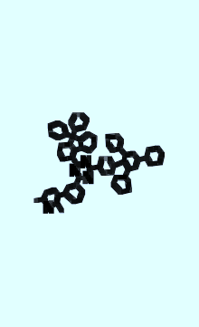 Cc1ccc(-c2cccc(-c3nc(-c4ccc(-c5c(-c6ccccc6)cc(-c6ccccc6)cc5-c5ccccc5)cc4)nc(-c4cccc5c4-c4ccccc4C5(c4ccccc4)c4ccccc4)n3)c2)c(C)n1